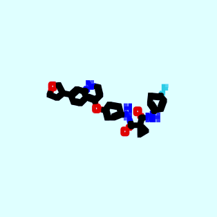 O=C(Nc1ccc(F)cc1)C1(C(=O)Nc2ccc(Oc3ccnc4cc(C5CCOC5)ccc34)cc2)CC1